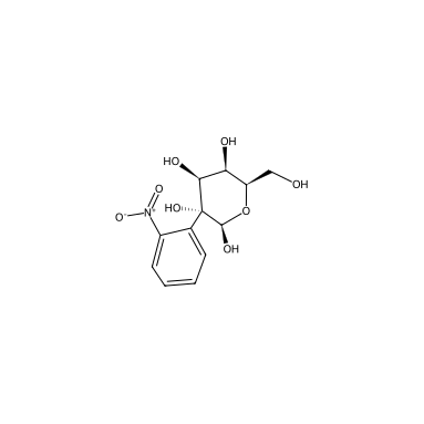 O=[N+]([O-])c1ccccc1[C@]1(O)[C@H](O)O[C@H](CO)[C@H](O)[C@@H]1O